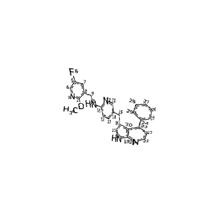 COc1ncc(F)cc1CNc1ccc(Cc2c[nH]c3nccc(-c4ccccc4)c23)cn1